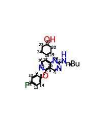 CCCCNc1ncc2c(Oc3ccc(F)cc3)ncc([C@H]3CC[C@H](O)CC3)c2n1